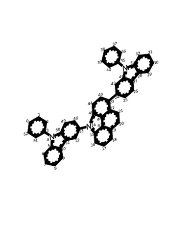 c1ccc(-n2c3ccccc3c3cc(-n4c5cccc6ccc7c(-c8ccc9c%10ccccc%10n(-c%10ccccc%10)c9c8)ccc4c7c65)ccc32)cc1